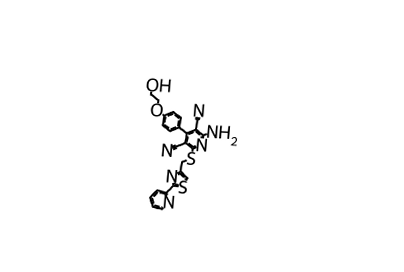 N#Cc1c(N)nc(SCc2csc(-c3ccccn3)n2)c(C#N)c1-c1ccc(OCCO)cc1